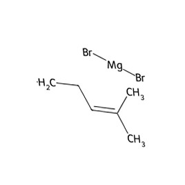 [Br][Mg][Br].[CH2]CC=C(C)C